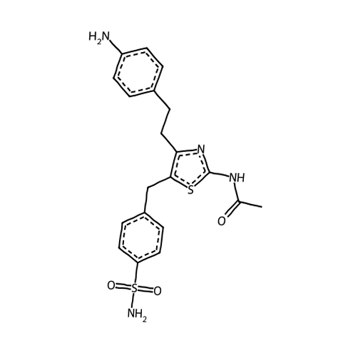 CC(=O)Nc1nc(CCc2ccc(N)cc2)c(Cc2ccc(S(N)(=O)=O)cc2)s1